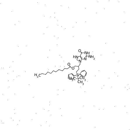 CCCCCCCCCCCC(=O)OCC(CC[Si](c1ccccc1)(c1ccccc1)C(C)(C)C)CN1CNc2c1nc(N)[nH]c2=O